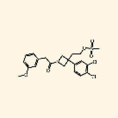 COc1cccc(CC(=O)N2CC(CCOS(C)(=O)=O)(c3ccc(Cl)c(Cl)c3)C2)c1